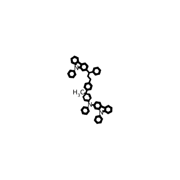 CC1(c2ccc(CCC(c3ccccc3)c3ccc4c5ccccc5n(-c5ccccc5)c4c3)cc2)C=CC(N(c2ccccc2)c2ccc3c4ccccc4n(-c4ccccc4)c3c2)=CC1